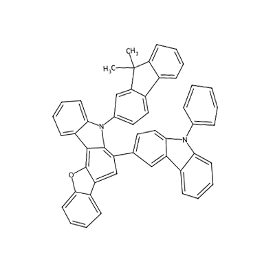 CC1(C)c2ccccc2-c2ccc(-n3c4ccccc4c4c5oc6ccccc6c5cc(-c5ccc6c(c5)c5ccccc5n6-c5ccccc5)c43)cc21